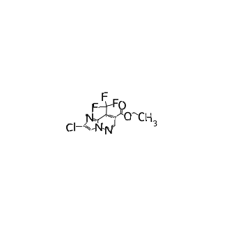 CCOC(=O)c1cnn2cc(Cl)nc2c1C(F)(F)F